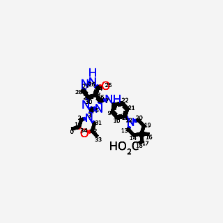 CC1CN(c2nc(Nc3ccc(N4CCC(C)(CC(=O)O)CC4)cc3)c3c(=O)[nH]ncc3n2)CC(C)O1